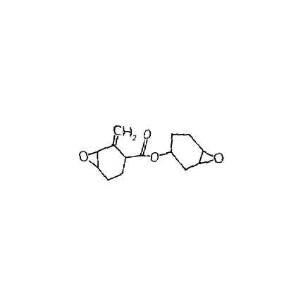 C=C1C(C(=O)OC2CCC3OC3C2)CCC2OC12